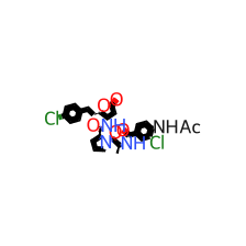 CC(=O)Nc1ccc(C(=O)N[C@@H](C)C(=O)N2CCC[C@H]2C(=O)N[C@H]2CC(=O)O[C@H]2CCc2ccc(Cl)cc2)cc1Cl